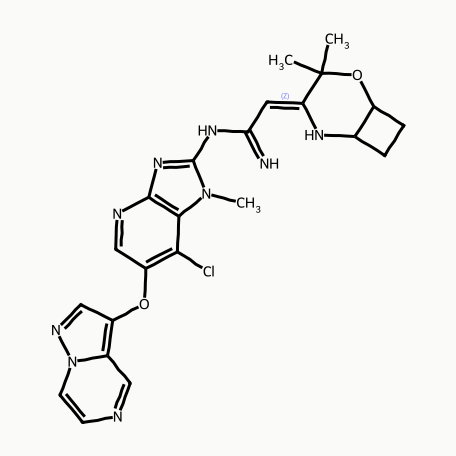 Cn1c(NC(=N)/C=C2\NC3CCC3OC2(C)C)nc2ncc(Oc3cnn4ccncc34)c(Cl)c21